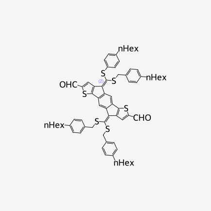 CCCCCCc1ccc(CSC(SCc2ccc(CCCCCC)cc2)=C2c3cc4c(cc3-c3sc(C=O)cc32)/C(=C(\SCc2ccc(CCCCCC)cc2)Sc2ccc(CCCCCC)cc2)c2cc(C=O)sc2-4)cc1